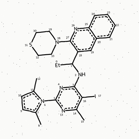 CCC(Nc1nc(-n2c(C)ccc2C)nc(C)c1I)c1cc2ccccc2nc1N1CCSCC1